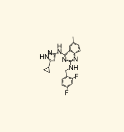 Cc1ccc2nc(NCc3ccc(F)cc3F)nc(Nc3cc(C4CC4)[nH]n3)c2c1